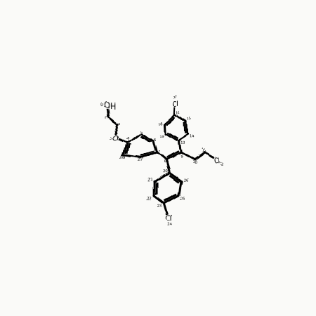 OCCOc1ccc(C(=C(CCCl)c2ccc(Cl)cc2)c2ccc(Cl)cc2)cc1